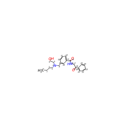 CCCCN(CCO)Cc1cccc(C(=O)NCC(=O)c2ccccc2)c1